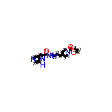 CC(C)(C)OC(=O)N1CCC(CCCCNC(=O)c2cc3cnccc3[nH]2)CC1